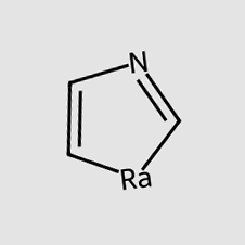 C1=[CH][Ra][CH]=N1